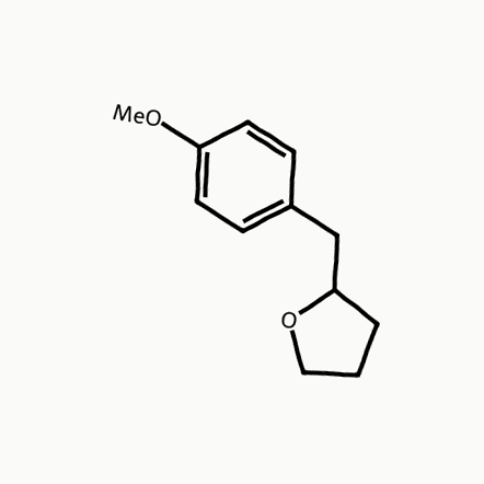 COc1ccc(CC2CCCO2)cc1